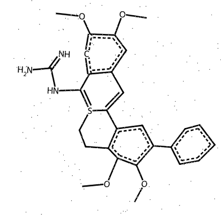 COc1cc2c(cc1OC)C(NC(=N)N)=S1CCc3c(cc(-c4ccccc4)c(OC)c3OC)C1=C2